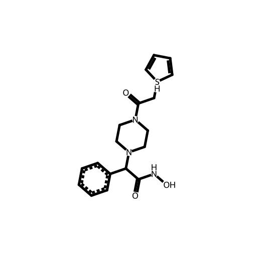 O=C(NO)C(c1ccccc1)N1CCN(C(=O)C[SH]2C=CC=C2)CC1